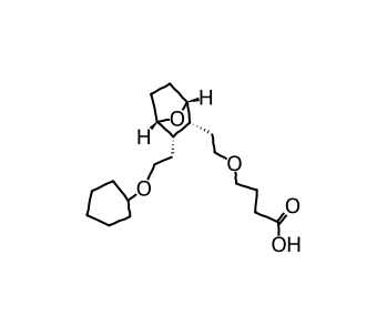 O=C(O)CCCOCC[C@@H]1[C@H](CCOC2CCCCC2)[C@@H]2CC[C@H]1O2